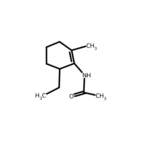 CCC1CCCC(C)=C1NC(C)=O